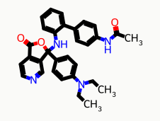 CCN(CC)c1ccc(C2(Nc3ccccc3-c3ccc(NC(C)=O)cc3)OC(=O)c3ccncc32)cc1